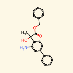 CC(O)(C(=O)OCc1ccccc1)c1ccc(-c2ccccc2)cc1N